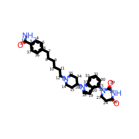 NC(=O)c1ccc(CCCCCCN2CCC(n3ccc4c(N5CCC(=O)NC5=O)cccc43)CC2)cc1